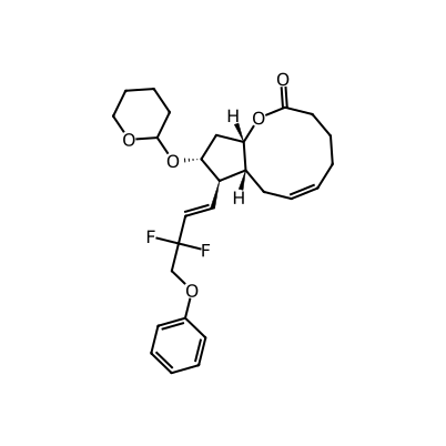 O=C1CCCC=CC[C@@H]2[C@@H](C=CC(F)(F)COc3ccccc3)[C@H](OC3CCCCO3)C[C@@H]2O1